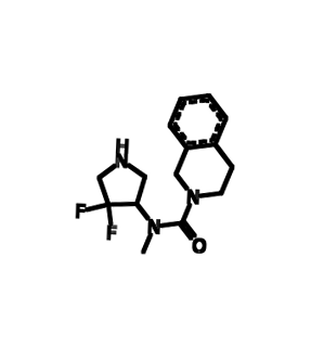 CN(C(=O)N1CCc2ccccc2C1)C1CNCC1(F)F